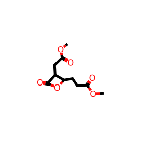 COC(=O)CCC1OC(=O)C1CC(=O)OC